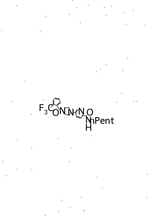 CCCCCNC(=O)c1ccc(N2CCN(C(=O)c3ccccc3C(F)(F)F)CC2)cn1